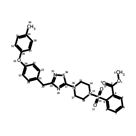 COC(=O)c1ccccc1S(=O)(=O)N1CCN(c2nc(Cc3ccc(Oc4ccc(C)cc4)cc3)ns2)CC1